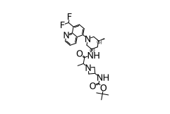 CC(C(=O)N[C@@H]1C[C@H](C)CN(c2ccc(C(F)F)c3ncccc23)C1)N1CC(NC(=O)OC(C)(C)C)C1